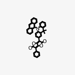 CC1(C)c2ccccc2N(c2c3ccccc3cc3ccccc23)c2ccc(C3=C4OC(=O)C(c5ccccc5)=C4OC3=O)cc21